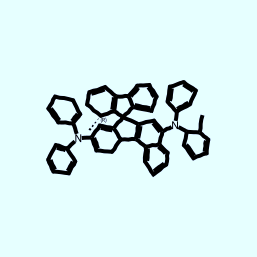 CC1C=CC=CC1N(c1ccccc1)c1cc2c(c3ccccc13)C1CC=C(N(C3=CCCC=C3)c3ccccc3)C=C1C21C2=C(C=CC[C@H]2C)c2ccccc21